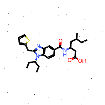 CCC(C)CC(CC(=O)O)NC(=O)c1ccc2c(c1)nc(Cc1cccs1)n2C(CC)CC